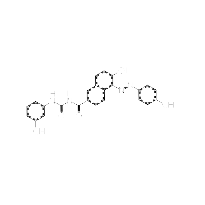 Cc1ccc(N=Nc2c(O)ccc3cc(C(=O)NC(=O)Nc4cccc(C)c4)ccc23)cc1